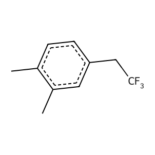 Cc1ccc(CC(F)(F)F)cc1C